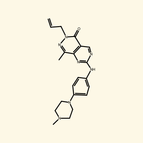 C=CCn1nc(C)c2nc(Nc3ccc(N4CCN(C)CC4)cc3)ncc2c1=O